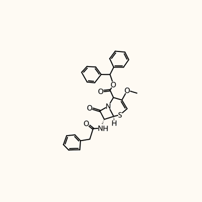 COC1=CS[C@H]2[C@H](NC(=O)Cc3ccccc3)C(=O)N2C1C(=O)OC(c1ccccc1)c1ccccc1